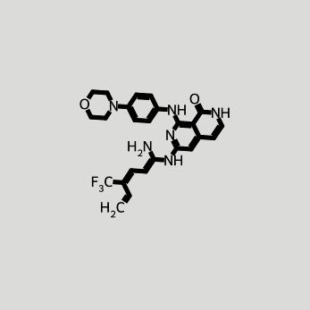 C=C/C(=C\C=C(/N)Nc1cc2cc[nH]c(=O)c2c(Nc2ccc(N3CCOCC3)cc2)n1)C(F)(F)F